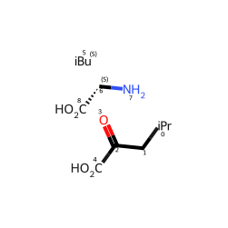 CC(C)CC(=O)C(=O)O.CC[C@H](C)[C@H](N)C(=O)O